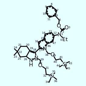 CCN(C(=O)OCc1ccccc1)c1ccc2cc(C3=C4CCC(C)(C)CC4NN3COCC[Si](C)(C)C)n(COCC[Si](C)(C)C)c2c1